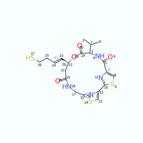 CC(C)C1NC(=O)c2csc(n2)-c2csc(n2)CNC(=O)C[C@@H](/C=C/CCS)OC1=O